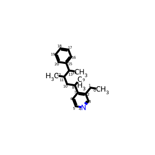 CCc1cnccc1C(C)CC(C)C(C)c1ccccc1